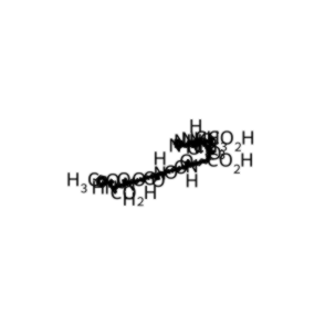 CC(C)(NC(=O)[C@@H](N)Cc1cnc[nH]1)C(=O)N[C@@H](CCC(=O)O)C(=O)C[C@@H](CCCCNC(=O)COCCOCCNC(=O)COCCOCCNC(=O)CC[C@H](NC(=O)[C@H]1CC[C@H](C)CC1)C(=O)O)C(=O)O